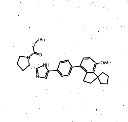 COc1ccc(-c2ccc(-c3cnc([C@@H]4CCCN4C(=O)OC(C)(C)C)[nH]3)cc2)c2c1C1(CCCC1)CC2